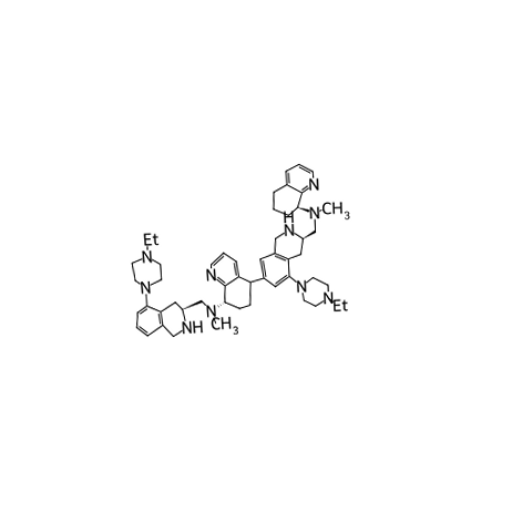 CCN1CCN(c2cc(C3CC[C@H](N(C)C[C@@H]4Cc5c(cccc5N5CCN(CC)CC5)CN4)c4ncccc43)cc3c2C[C@H](CN(C)[C@H]2CCCc4cccnc42)NC3)CC1